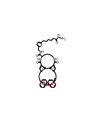 NNC(=O)CCCCCc1ccc(CNC(=O)C2CCCCNC(=O)c3cc4nc(c3)-c3cc(cc(n3)CN3Cc5cccc(n5)-c5cccc(n5)CN(Cc5cccc(n5)-c5cccc(n5)C3)C4)C(=O)N2)s1